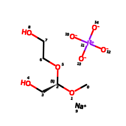 CO[C@H](CO)OCCO.[Na+].[O-][I+3]([O-])([O-])[O-]